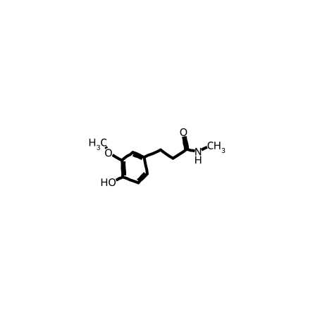 CNC(=O)CCc1ccc(O)c(OC)c1